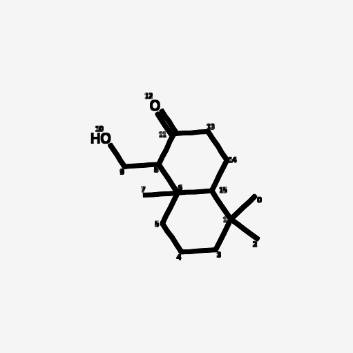 CC1(C)CCCC2(C)C(CO)C(=O)CCC12